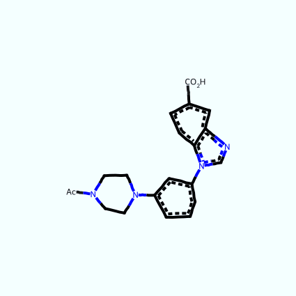 CC(=O)N1CCN(c2cccc(-n3cnc4cc(C(=O)O)ccc43)c2)CC1